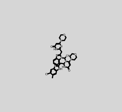 Cc1cc2[nH]c(CC3NC(=O)C=C(N4CCOCC4)N3C(C#N)n3c(Cc4nc(N5CCOCC5)cc(=O)[nH]4)nc4ccccc43)nc2cc1Cl